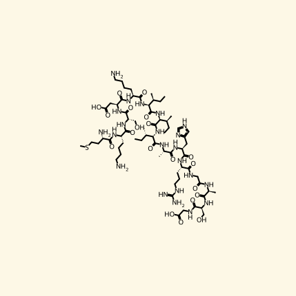 CC[C@H](C)[C@H](NC(=O)[C@H](CCCCN)NC(=O)[C@H](CC(=O)O)NC(=O)[C@H](CO)NC(=O)[C@H](CCCCN)NC(=O)[C@@H](N)CCSC)C(=O)N[C@H](C(=O)N[C@H](C(=O)N[C@@H](C)C(=O)N[C@@H](Cc1c[nH]cn1)C(=O)N[C@@H](CCCNC(=N)N)C(=O)NCC(=O)N[C@@H](C)C(=O)N[C@@H](CO)C(=O)NCC(=O)O)[C@@H](C)CC)[C@@H](C)CC